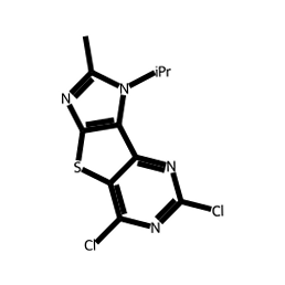 Cc1nc2sc3c(Cl)nc(Cl)nc3c2n1C(C)C